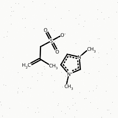 C=C(C)CS(=O)(=O)[O-].Cn1cc[n+](C)c1